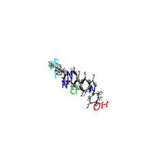 O[C@H]1CC[C@H](n2ccc3cc(-c4ccn5c(CC(F)(F)F)cnc5c4Cl)ccc32)CC1